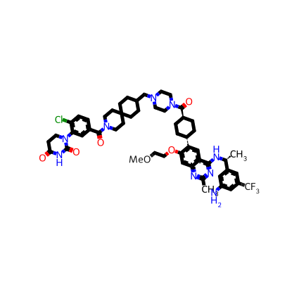 COCCOc1cc2nc(C)nc(N[C@H](C)c3cc(N)cc(C(F)(F)F)c3)c2cc1[C@H]1CC[C@H](C(=O)N2CCN(CC3CCC4(CC3)CCN(C(=O)c3ccc(Cl)c(N5CCC(=O)NC5=O)c3)CC4)CC2)CC1